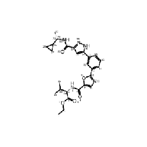 CCOC(=O)[C@@H](NC(=O)c1cnc(-c2cccc(-c3cc(C(=O)N[C@@H](C)C4CC4)n[nH]3)c2)o1)C(C)C